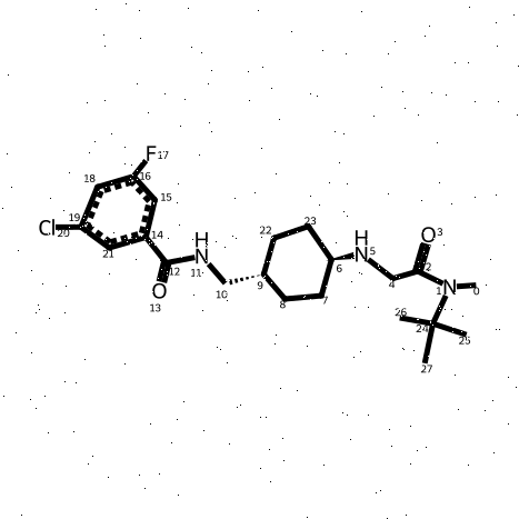 CN(C(=O)CN[C@H]1CC[C@H](CNC(=O)c2cc(F)cc(Cl)c2)CC1)C(C)(C)C